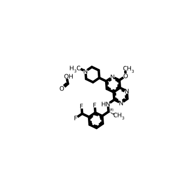 COc1nc(C2CCN(C)CC2)cc2c(N[C@H](C)c3cccc(C(F)F)c3F)ncnc12.O=CO